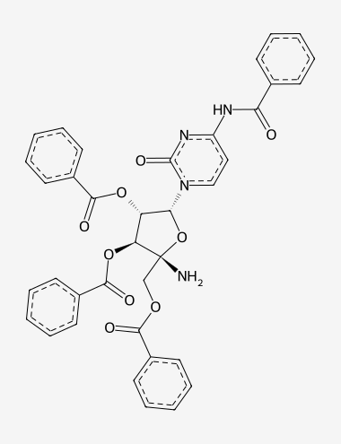 N[C@]1(COC(=O)c2ccccc2)O[C@@H](n2ccc(NC(=O)c3ccccc3)nc2=O)[C@@H](OC(=O)c2ccccc2)[C@@H]1OC(=O)c1ccccc1